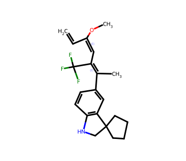 C=C/C(=C\C(=C(/C)c1ccc2c(c1)C1(CCCC1)CN2)C(F)(F)F)OC